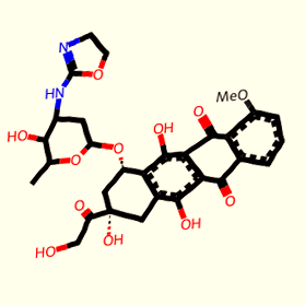 COc1cccc2c1C(=O)c1c(O)c3c(c(O)c1C2=O)C[C@@](O)(C(=O)CO)C[C@@H]3OC1CC(NC2=NCCO2)C(O)C(C)O1